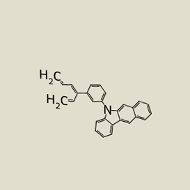 C=C/C=C(\C=C)c1cccc(-n2c3ccccc3c3cc4ccccc4cc32)c1